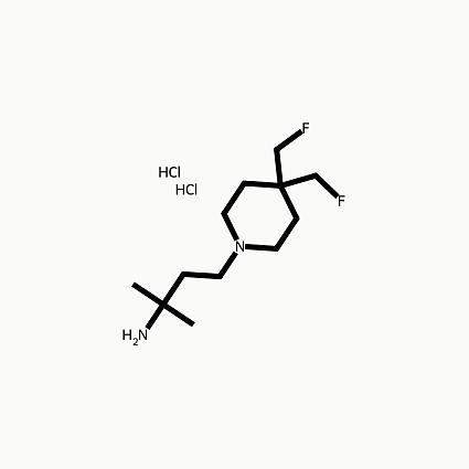 CC(C)(N)CCN1CCC(CF)(CF)CC1.Cl.Cl